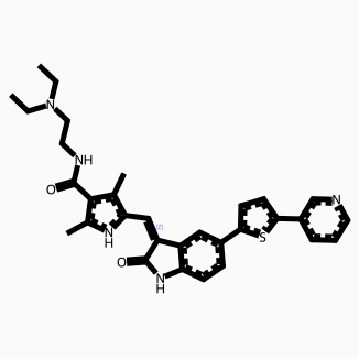 CCN(CC)CCNC(=O)c1c(C)[nH]c(/C=C2\C(=O)Nc3ccc(-c4ccc(-c5cccnc5)s4)cc32)c1C